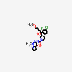 CNC[C@@H](NC(=O)N1CCC[C@@H]([C@@](O)(CCCCOC)c2cccc(Cl)c2F)C1)[C@@H](O)C1CCCC1